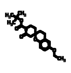 CCOc1ccc2c(c1)CCC1(CCN(C(=O)OC(C)(C)C)C(=O)C1)O2